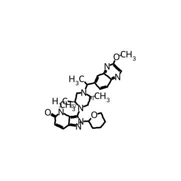 COc1cnc2ccc(C(C)N3C[C@H](C)N(c4c5c(ccc(=O)n5C)nn4C4CCCCO4)C[C@H]3C)cc2n1